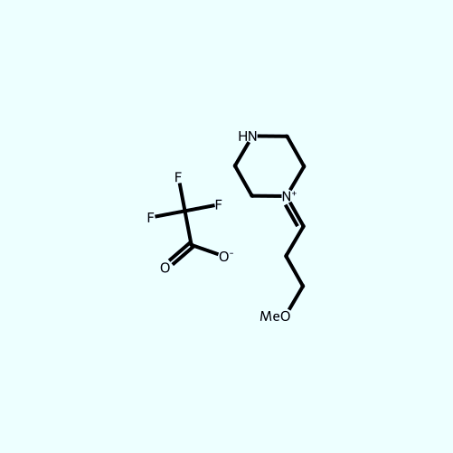 COCCC=[N+]1CCNCC1.O=C([O-])C(F)(F)F